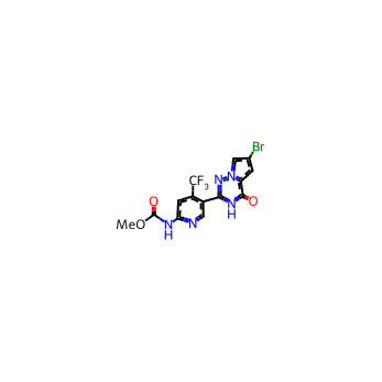 COC(=O)Nc1cc(C(F)(F)F)c(-c2nn3cc(Br)cc3c(=O)[nH]2)cn1